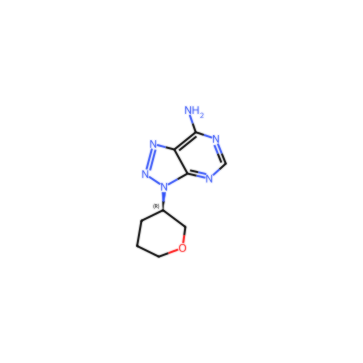 Nc1ncnc2c1nnn2[C@@H]1CCCOC1